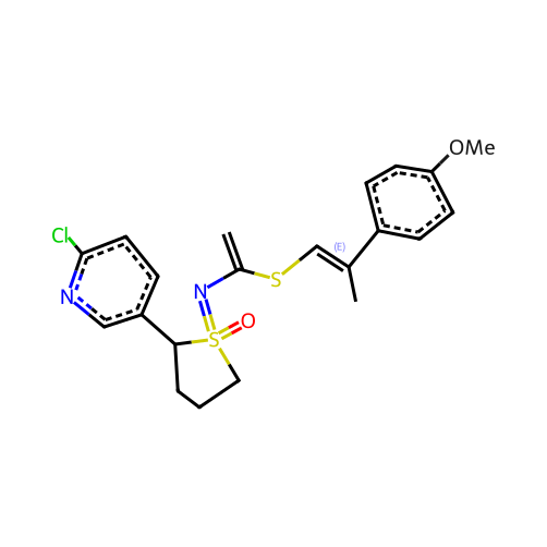 C=C(N=S1(=O)CCCC1c1ccc(Cl)nc1)S/C=C(\C)c1ccc(OC)cc1